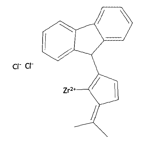 CC(C)=C1C=CC(C2c3ccccc3-c3ccccc32)=[C]1[Zr+2].[Cl-].[Cl-]